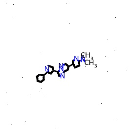 CN(C)c1ccc(-c2cnn3c(-c4ccnc(-c5ccccc5)c4)cnc3c2)cn1